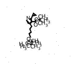 CC(C)(C)OC(=O)c1c(CCCCCO[Si](C)(C)C(C)(C)C)ccnc1C1CC1